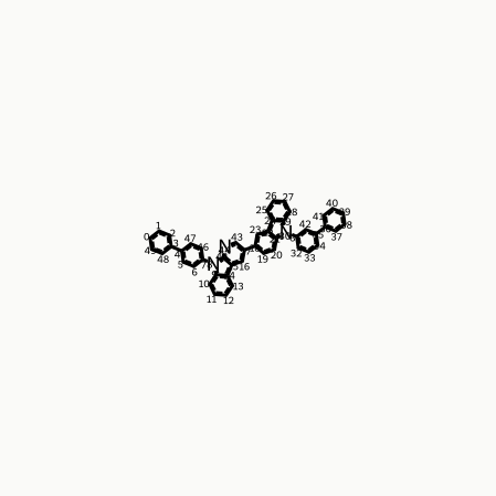 c1ccc(-c2ccc(-n3c4ccccc4c4cc(-c5ccc6c(c5)c5ccccc5n6-c5cccc(-c6ccccc6)c5)cnc43)cc2)cc1